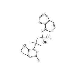 CC(C)(CC(O)(CN1CC=Cc2ccccc21)C(F)(F)F)c1cc(F)cc2c1OCC2